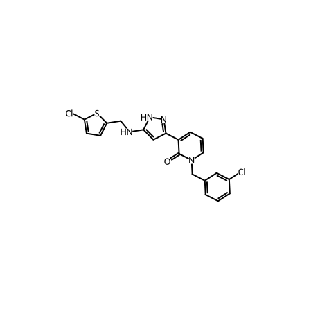 O=c1c(-c2cc(NCc3ccc(Cl)s3)[nH]n2)cccn1Cc1cccc(Cl)c1